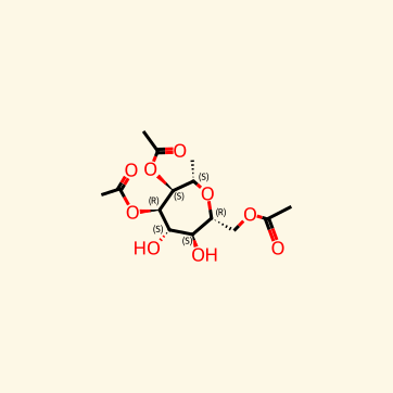 CC(=O)OC[C@H]1O[C@@H](C)[C@H](OC(C)=O)[C@H](OC(C)=O)[C@@H](O)[C@@H]1O